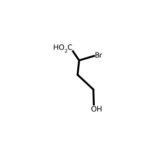 O=C(O)C(Br)CCO